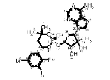 CC1(C)C[C@@H](c2cc(Br)cc(F)c2F)O[P@@](=O)(OC2O[C@@H](n3cnc4c(N)ncnc43)[C@](C)(O)[C@@H]2O)O1